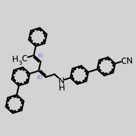 C/C(=C\C(=C/CNc1ccc(-c2ccc(C#N)cc2)cc1)c1cccc(-c2ccccc2)c1)c1ccccc1